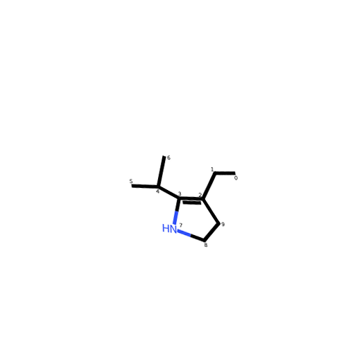 CCC1=C(C(C)C)NCC1